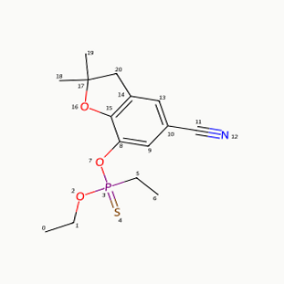 CCOP(=S)(CC)Oc1cc(C#N)cc2c1OC(C)(C)C2